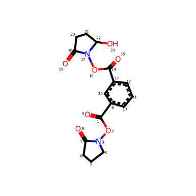 O=C(ON1CCCC1=O)c1cccc(C(=O)ON2C(=O)CCC2O)c1